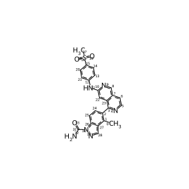 Cc1c(-c2nccc3cnc(Nc4ccc(S(C)(=O)=O)cc4)cc23)ccc2c1cnn2C(N)=O